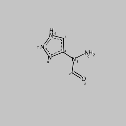 NN(C=O)c1c[nH]nn1